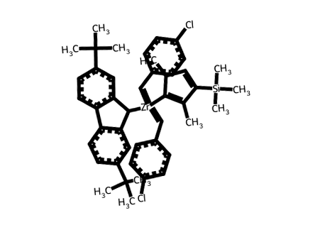 CC1=[C]([Zr](=[CH]c2ccc(Cl)cc2)(=[CH]c2ccc(Cl)cc2)[CH]2c3cc(C(C)(C)C)ccc3-c3ccc(C(C)(C)C)cc32)C(C)C=C1[Si](C)(C)C